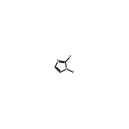 Fc1nccn1F